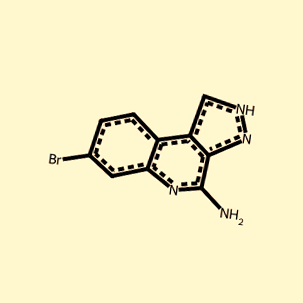 Nc1nc2cc(Br)ccc2c2c[nH]nc12